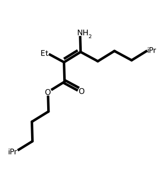 CCC(C(=O)OCCCC(C)C)=C(N)CCCC(C)C